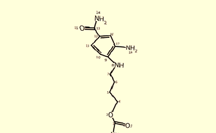 NC(=O)OCCCCNc1ccc(C(N)=O)cc1N